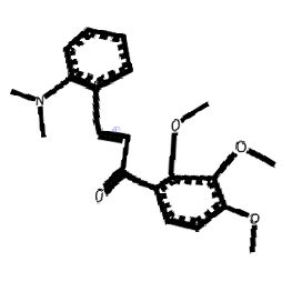 COc1ccc(C(=O)/C=C/c2ccccc2N(C)C)c(OC)c1OC